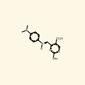 CCOC(=O)c1cnc(SC)nc1C=[N+]([O-])c1ccc(N(C)C)cc1